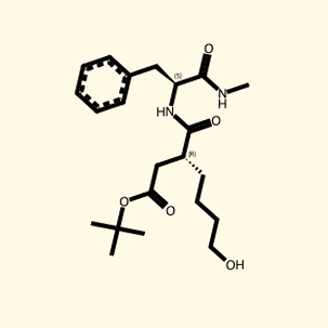 CNC(=O)[C@H](Cc1ccccc1)NC(=O)[C@H](CCCCO)CC(=O)OC(C)(C)C